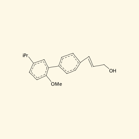 COc1ccc(C(C)C)cc1-c1ccc(C=CCO)cc1